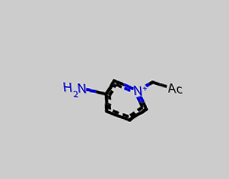 CC(=O)C[n+]1cccc(N)c1